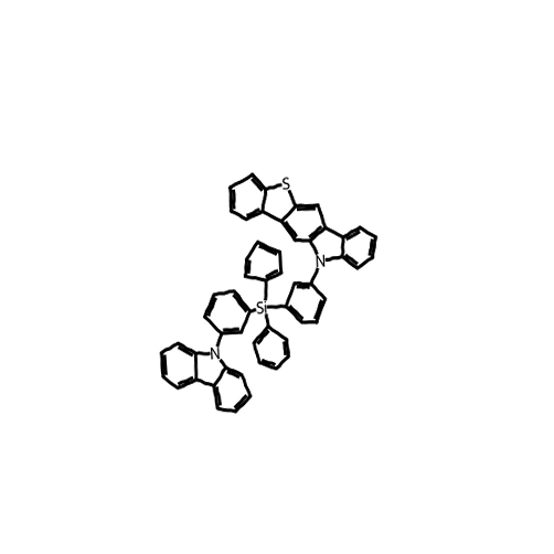 c1ccc([Si](c2ccccc2)(c2cccc(-n3c4ccccc4c4ccccc43)c2)c2cccc(-n3c4ccccc4c4cc5sc6ccccc6c5cc43)c2)cc1